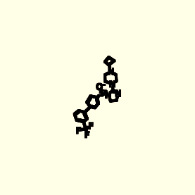 [O-][S+](c1ccc(-c2cccc(C(F)(F)F)c2)cc1)N1CCN=C1N1CCN(C2CCC2)CC1